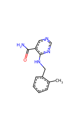 Cc1ccccc1CNc1ncncc1C(N)=O